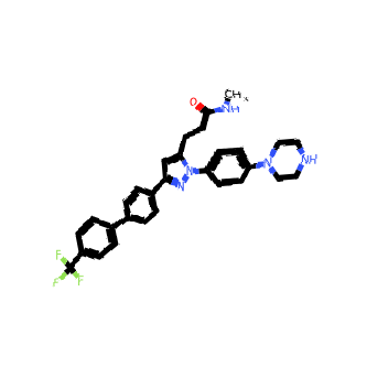 CNC(=O)CCc1cc(-c2ccc(-c3ccc(C(F)(F)F)cc3)cc2)nn1-c1ccc(N2CCNCC2)cc1